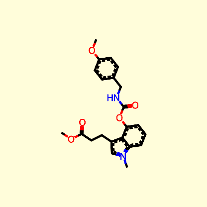 COC(=O)CCc1cn(C)c2cccc(OC(=O)NCc3ccc(OC)cc3)c12